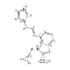 O=C(O)c1cc2cccc(C=CCn3ccnc3)c2n1CC1CC1